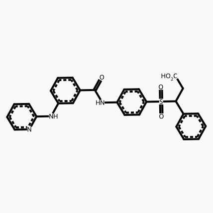 O=C(O)CC(c1ccccc1)S(=O)(=O)c1ccc(NC(=O)c2cccc(Nc3ccccn3)c2)cc1